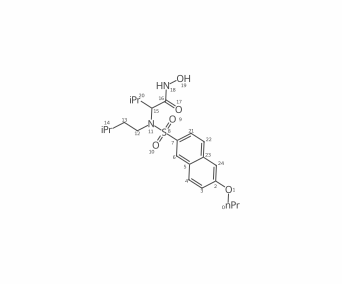 CCCOc1ccc2cc(S(=O)(=O)N(CCC(C)C)C(C(=O)NO)C(C)C)ccc2c1